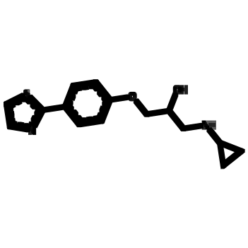 OC(CNC1CC1)COc1ccc(-c2nccs2)cc1